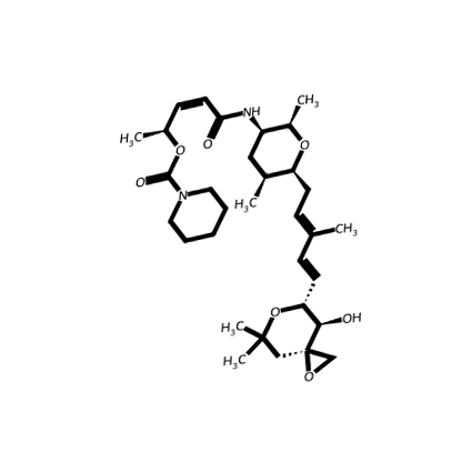 CC(/C=C/[C@H]1OC(C)(C)C[C@@]2(CO2)[C@@H]1O)=C\C[C@@H]1O[C@H](C)[C@H](NC(=O)/C=C\[C@H](C)OC(=O)N2CCCCC2)C[C@@H]1C